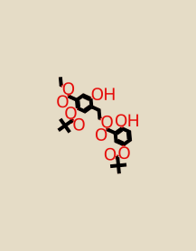 CCOC(=O)c1cc(O)c(CCOC(=O)c2cc(OC(=O)C(C)(C)C)ccc2O)cc1OC(=O)C(C)(C)C